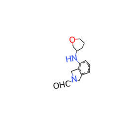 O=CN1Cc2cccc(NC3CCCOC3)c2C1